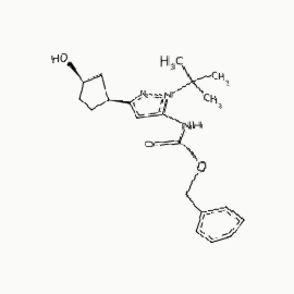 CC(C)(C)n1nc([C@H]2CC[C@@H](O)C2)cc1NC(=O)OCc1ccccc1